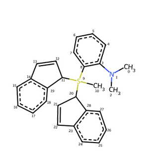 CN(C)c1ccccc1S(C)(C1C=Cc2ccccc21)C1C=Cc2ccccc21